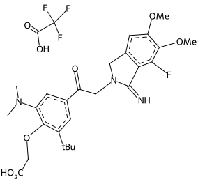 COc1cc2c(c(F)c1OC)C(=N)N(CC(=O)c1cc(N(C)C)c(OCC(=O)O)c(C(C)(C)C)c1)C2.O=C(O)C(F)(F)F